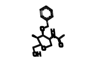 CC(=O)NC1COC(CO)[C@@H](C)[C@H]1OCc1ccccc1